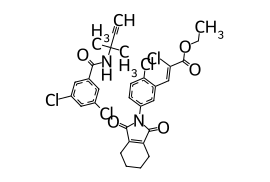 C#CC(C)(C)NC(=O)c1cc(Cl)cc(Cl)c1.CCOC(=O)/C(Cl)=C/c1cc(N2C(=O)C3=C(CCCC3)C2=O)ccc1Cl